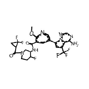 COc1ncc(-c2cc(C(F)(F)F)c3c(N)ncnn23)cc1C(=O)NC1CN(C(=O)C2CC2(F)F)CCC1F